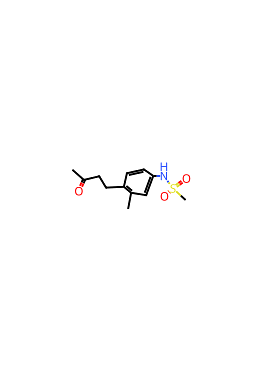 CC(=O)CCc1ccc(NS(C)(=O)=O)cc1C